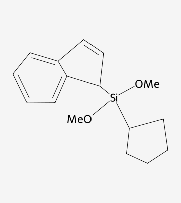 CO[Si](OC)(C1CCCC1)C1C=Cc2ccccc21